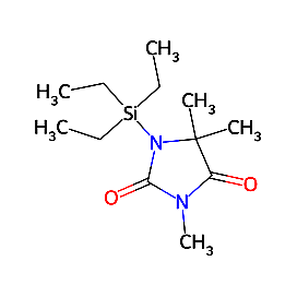 CC[Si](CC)(CC)N1C(=O)N(C)C(=O)C1(C)C